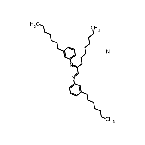 CCCCCCCCC(C=Nc1cccc(CCCCCCC)c1)=Nc1cccc(CCCCCCC)c1.[Ni]